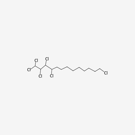 ClCCCCCCCCCC(Cl)C(Cl)C(Cl)C(Cl)Cl